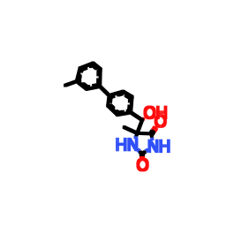 Cc1cccc(-c2ccc(C(O)C3(C)NC(=O)NC3=O)cc2)c1